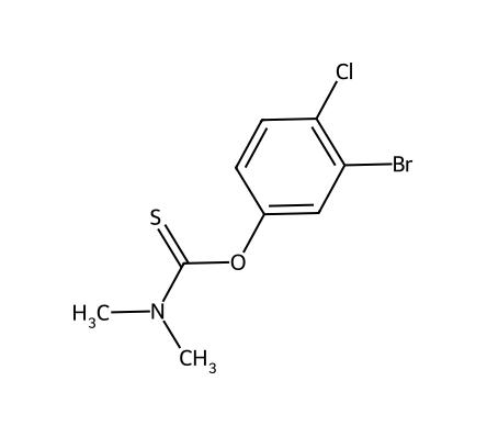 CN(C)C(=S)Oc1ccc(Cl)c(Br)c1